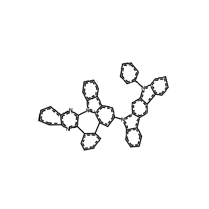 c1ccc(-n2c3ccccc3c3cc4c5ccccc5n(-c5cc6c7c(c5)c5ccccc5n7-c5nc7ccccc7nc5-c5ccccc5-6)c4cc32)cc1